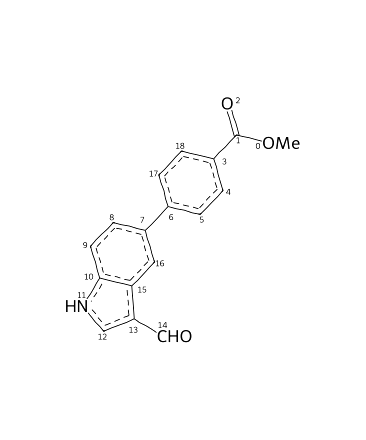 COC(=O)c1ccc(-c2ccc3[nH]cc(C=O)c3c2)cc1